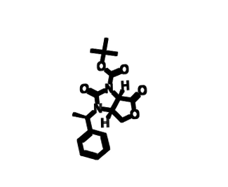 C[C@H](c1ccccc1)N1C(=O)N(C(=O)OC(C)(C)C)[C@@H]2C(=O)OC[C@@H]21